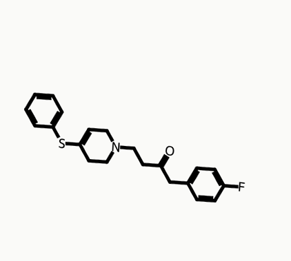 O=C(CCN1CC=C(Sc2ccccc2)CC1)Cc1ccc(F)cc1